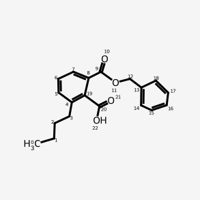 CCCCc1cccc(C(=O)OCc2ccccc2)c1C(=O)O